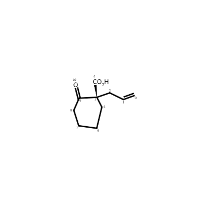 C=CC[C@]1(C(=O)O)CCCCC1=O